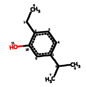 CCc1ccc(C(C)C)cc1O